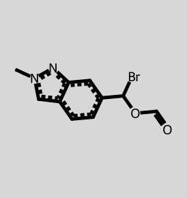 Cn1cc2ccc(C(Br)OC=O)cc2n1